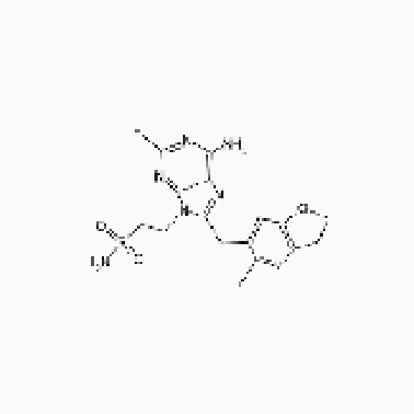 Cc1cc2c(cc1Cc1nc3c(N)nc(F)nc3n1CCS(N)(=O)=O)OCC2